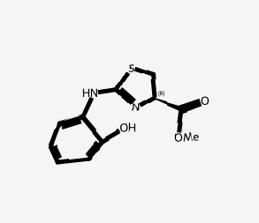 COC(=O)[C@@H]1CSC(Nc2ccccc2O)=N1